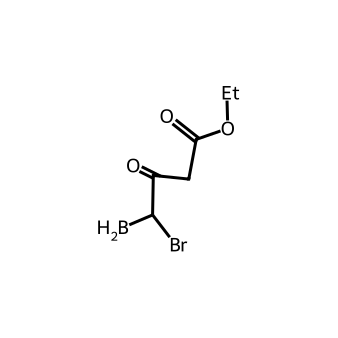 BC(Br)C(=O)CC(=O)OCC